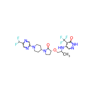 C[C@@H](CO[C@@H]1CCN(C2CCN(c3cnc(C(F)F)cn3)CC2)C1=O)Nc1cn[nH]c(=O)c1C(F)(F)F